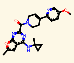 COc1ccc(C2=CCN(C(=O)c3nc(NC4(C)CC4)c4cc(C)oc4n3)CC2)nc1